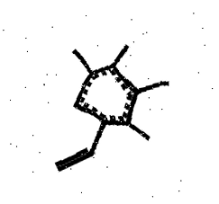 C=[C]c1cc(C)c(C)c(C)c1C